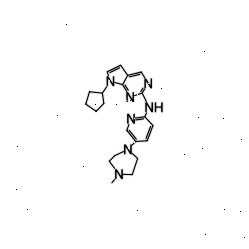 CN1CCN(c2ccc(Nc3ncc4ccn(C5CCCC5)c4n3)nc2)CC1